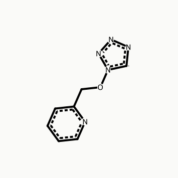 [c]1nnnn1OCc1ccccn1